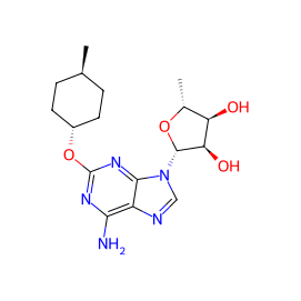 C[C@H]1O[C@@H](n2cnc3c(N)nc(O[C@H]4CC[C@H](C)CC4)nc32)[C@H](O)[C@@H]1O